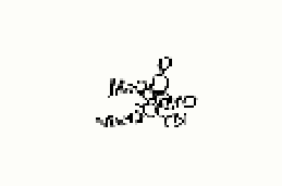 COC1=CC(=O)C[C@@H](C)[C@]1(C=O)Oc1c(C)c(OC)cc(-c2cccnc2)c1Cl